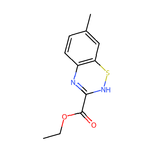 CCOC(=O)C1=Nc2ccc(C)cc2SN1